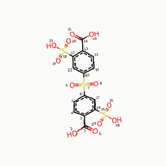 O=C(O)c1ccc(S(=O)(=O)c2ccc(C(=O)O)c(S(=O)(=O)O)c2)cc1S(=O)(=O)O